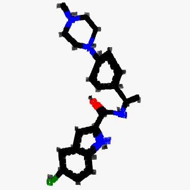 CC(NC(=O)c1cc2cc(Cl)ccc2[nH]1)c1ccc(N2CCN(C)CC2)cc1